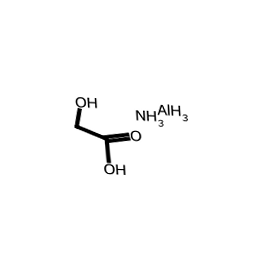 N.O=C(O)CO.[AlH3]